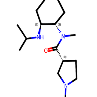 CC(C)N[C@H]1CCCC[C@@H]1N(C)C(=O)[C@@H]1CCN(C)C1